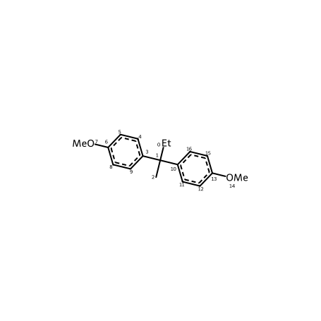 CCC(C)(c1ccc(OC)cc1)c1ccc(OC)cc1